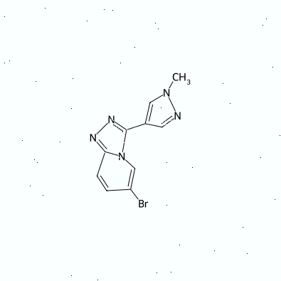 Cn1cc(-c2nnc3ccc(Br)cn23)cn1